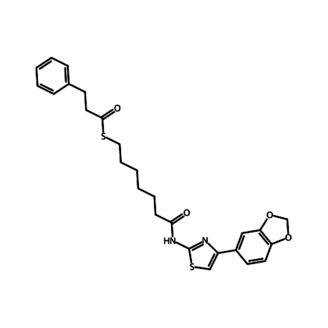 O=C(CCCCCCSC(=O)CCc1ccccc1)Nc1nc(-c2ccc3c(c2)OCO3)cs1